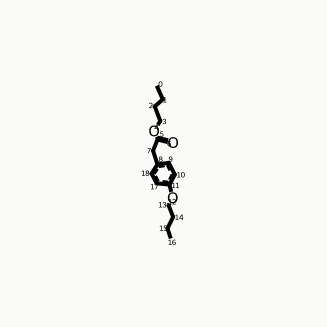 CCCCOC(=O)Cc1ccc(OCCCC)cc1